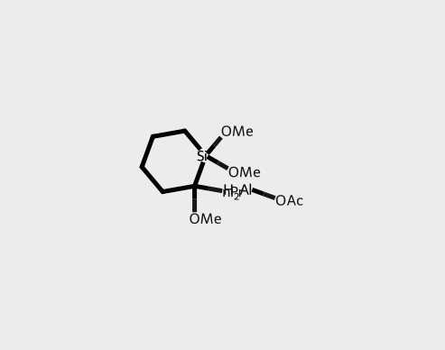 CC(=O)[O][AlH2].CCCC1(OC)CCCC[Si]1(OC)OC